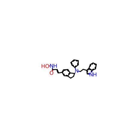 O=C(C=Cc1ccc2c(c1)CCC2N(CCc1c[nH]c2ccccc12)c1ccccc1)NO